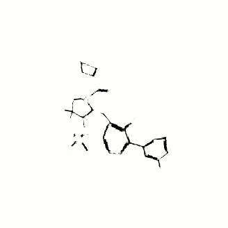 CCS(=O)(=O)N[C@@H]1[C@H](Cc2cccc(-c3cccc(F)c3)c2F)N(C(=O)[C@H]2C[C@@H](F)C2)CC1(F)F